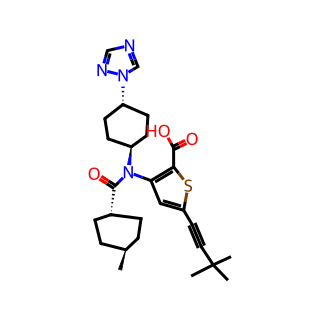 CC(C)(C)C#Cc1cc(N(C(=O)[C@H]2CC[C@H](C)CC2)[C@H]2CC[C@H](n3cncn3)CC2)c(C(=O)O)s1